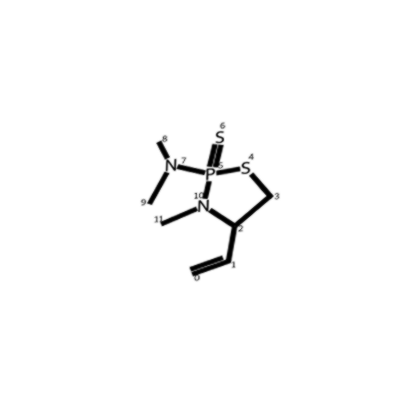 C=CC1CSP(=S)(N(C)C)N1C